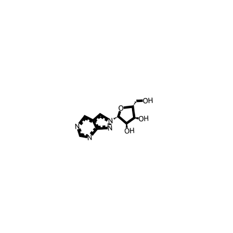 OC[C@H]1O[C@@H](n2cc3cncnc3n2)[C@H](O)[C@@H]1O